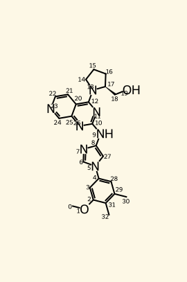 COc1cc(-n2cnc(Nc3nc(N4CCC[C@H]4CO)c4ccncc4n3)c2)cc(C)c1C